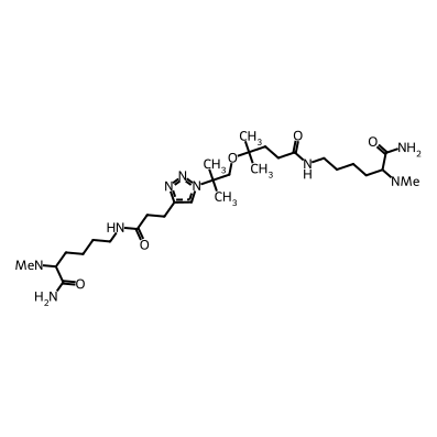 CNC(CCCCNC(=O)CCc1cn(C(C)(C)COC(C)(C)CCC(=O)NCCCCC(NC)C(N)=O)nn1)C(N)=O